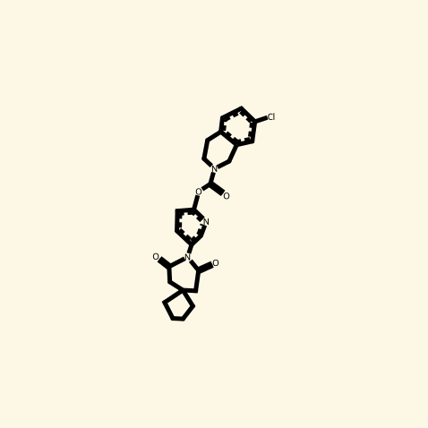 O=C(Oc1ccc(N2C(=O)CC3(CCCC3)CC2=O)cn1)N1CCc2ccc(Cl)cc2C1